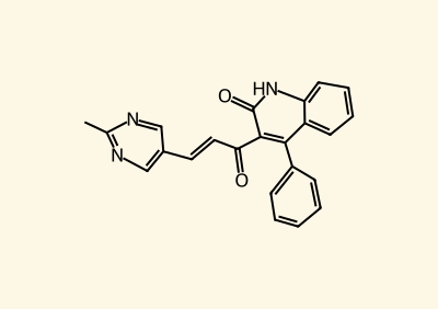 Cc1ncc(/C=C/C(=O)c2c(-c3ccccc3)c3ccccc3[nH]c2=O)cn1